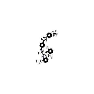 Cc1cccc(C)c1/N=C(/N/N=C/c1ccc(-c2ncn(-c3ccc(OC(F)(F)F)cc3)n2)cc1)SCc1c(F)cccc1F